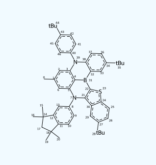 Cc1cc2c3c(c1)N(c1ccc4c(c1)C(C)(C)CC4(C)C)c1c(sc4ccc(C(C)(C)C)cc14)B3c1cc(C(C)(C)C)ccc1N2c1ccc(C(C)(C)C)cc1